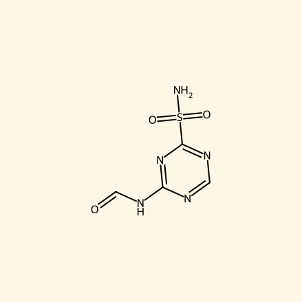 NS(=O)(=O)c1ncnc(NC=O)n1